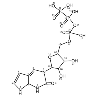 O=C1NC2NC=CC2=CN1C1OC(COP(=O)(O)OP(=O)(O)P(=O)(O)O)C(O)C1O